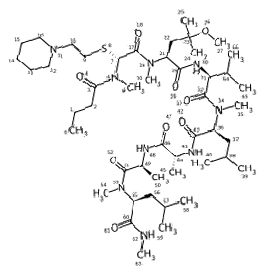 CCCC(=O)N(C)[C@H](SCCN1CCCCC1)C(=O)N(C)[C@@H](CC(C)(C)OC)C(=O)N[C@H](C(=O)N(C)[C@@H](CC(C)C)C(=O)N[C@H](C)C(=O)N[C@@H](C)C(=O)N(C)[C@@H](CC(C)C)C(=O)NC)C(C)C